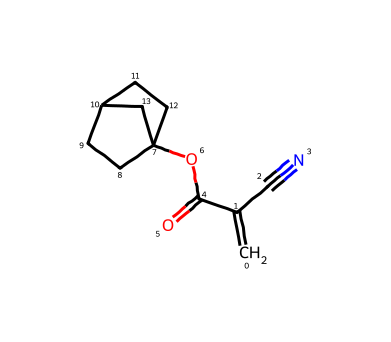 C=C(C#N)C(=O)OC12CCC(CC1)C2